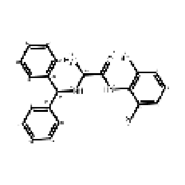 CC(C)c1cccc(C(C)C)c1NC(=O)[C@H](C)NC(c1ccccc1)c1ccccc1